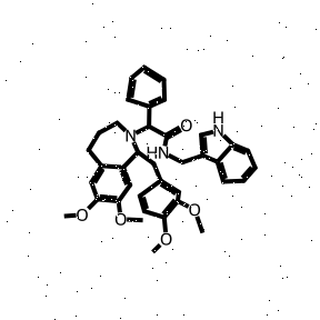 COc1ccc(CC2c3cc(OC)c(OC)cc3CCCN2C(C(=O)NCc2c[nH]c3ccccc23)c2ccccc2)cc1OC